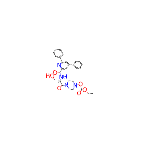 CCOC(=O)ON1CCN(C(=O)[C@H](CO)NC(=O)c2cc(-c3ccccc3)cc(-c3ccccc3)n2)CC1